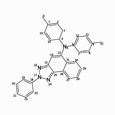 CC1=CCC(N(c2ccc(C)cc2)c2cc3nn(-c4ccccc4)nc3c3ccccc23)C=C1